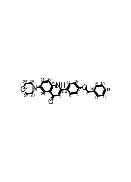 O=c1cc(-c2ccc(OCc3ccccc3)cc2)[nH]c2ccc(N3CCOCC3)cc12